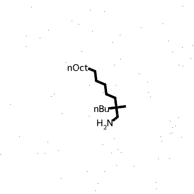 CCCCCCCCCCCCCC(C)(CN)CCCC